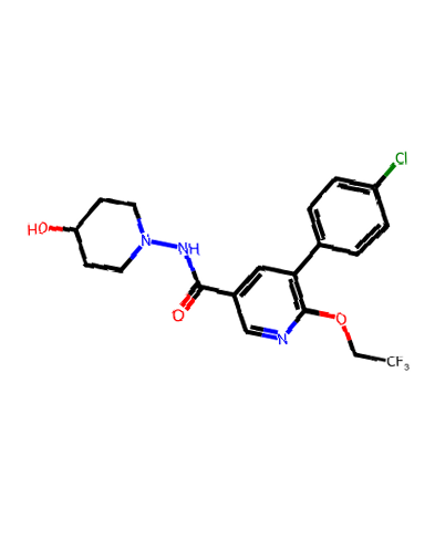 O=C(NN1CCC(O)CC1)c1cnc(OCC(F)(F)F)c(-c2ccc(Cl)cc2)c1